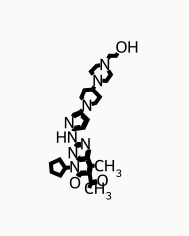 CC(=O)c1c(C)c2cnc(Nc3ccc(N4CCC(N5CCN(CCO)CC5)CC4)cn3)nc2n(C2CCCC2)c1=O